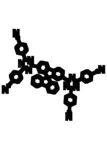 N#Cc1ccc(-c2nc(-c3ccc(C#N)cc3)nc(-c3ccc4c(c3)C3(c5ccccc5-c5ccccc53)c3cc(-c5nc(-c6ccc(C#N)cc6)nc(-c6ccc(C#N)cc6)n5)ccc3-4)n2)cc1